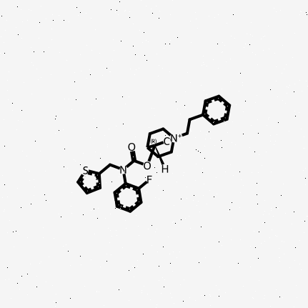 O=C(O[C@H]1C[N+]2(CCc3ccccc3)CCC1CC2)N(Cc1cccs1)c1ccccc1F